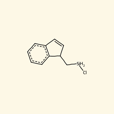 Cl[SiH2]CC1C=Cc2ccccc21